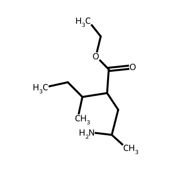 CCOC(=O)C(CC(C)N)C(C)CC